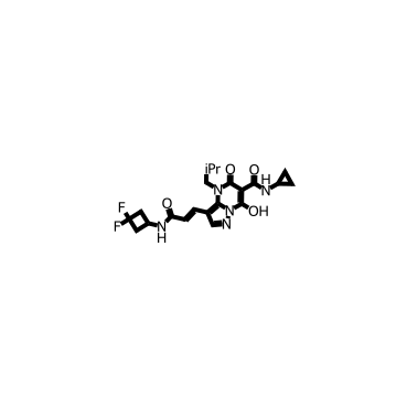 CC(C)Cn1c(=O)c(C(=O)NC2CC2)c(O)n2ncc(C=CC(=O)NC3CC(F)(F)C3)c12